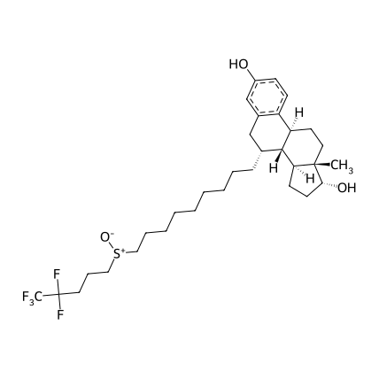 C[C@]12CC[C@@H]3c4ccc(O)cc4C[C@@H](CCCCCCCCC[S+]([O-])CCCC(F)(F)C(F)(F)F)[C@H]3[C@@H]1CC[C@H]2O